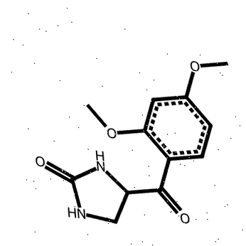 COc1ccc(C(=O)C2CNC(=O)N2)c(OC)c1